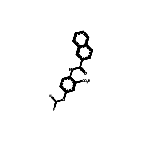 O=C(Nc1ccc(OC(F)F)cc1C(=O)O)c1ccc2ccccc2c1